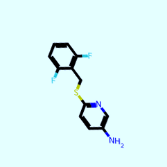 Nc1ccc(SCc2c(F)cccc2F)nc1